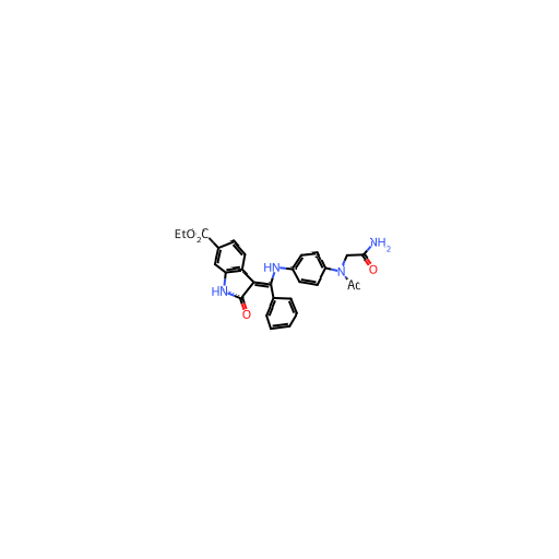 CCOC(=O)c1ccc2c(c1)NC(=O)C2=C(Nc1ccc(N(CC(N)=O)C(C)=O)cc1)c1ccccc1